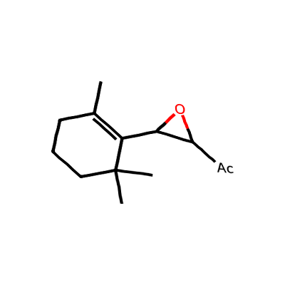 CC(=O)C1OC1C1=C(C)CCCC1(C)C